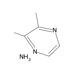 Cc1nccnc1C.N